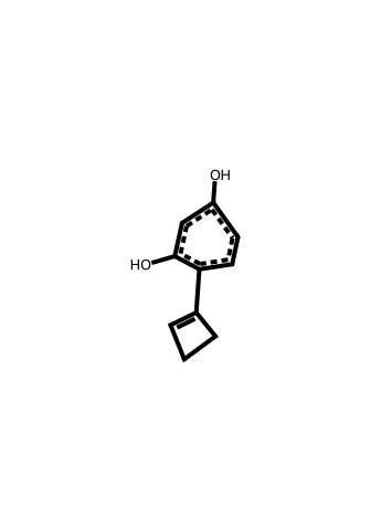 Oc1ccc(C2=CCC2)c(O)c1